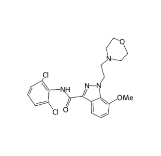 COc1cccc2c(C(=O)Nc3c(Cl)cccc3Cl)nn(CCN3CCOCC3)c12